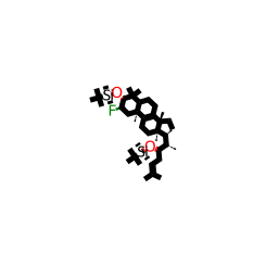 CC(C)=CCC(O[Si](C)(C)C(C)(C)C)[C@@H](C)[C@H]1CC[C@@]2(C)C3=C(CC[C@]12C)[C@@]1(C)C[C@@H](F)C(O[Si](C)(C)C(C)(C)C)C(C)(C)C1CC3